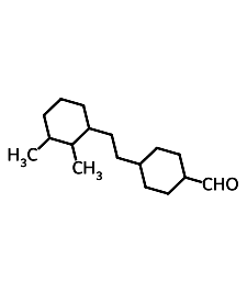 CC1CCCC(CCC2CCC(C=O)CC2)C1C